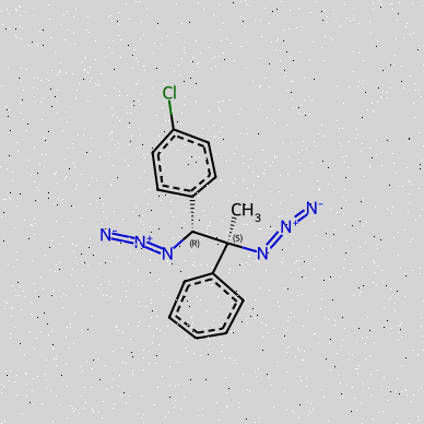 C[C@](N=[N+]=[N-])(c1ccccc1)[C@H](N=[N+]=[N-])c1ccc(Cl)cc1